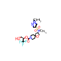 CN([C@H]1COC2(CCN(C(=O)O[C@H](CO)C(F)(F)F)CC2)C1)S(=O)(=O)c1cnn(C)c1